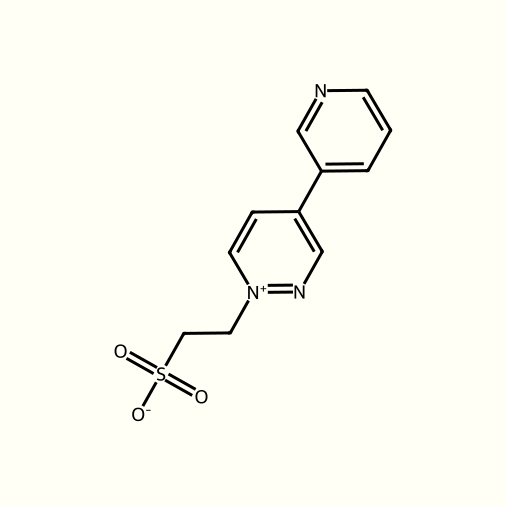 O=S(=O)([O-])CC[n+]1ccc(-c2cccnc2)cn1